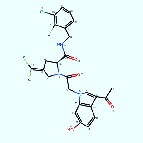 CC(=O)c1cn(CC(=O)N2CC(=C(F)F)C[C@H]2C(=O)NCc2cccc(Cl)c2F)c2cc(O)ccc12